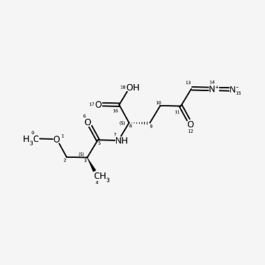 COC[C@H](C)C(=O)N[C@@H](CCC(=O)C=[N+]=[N-])C(=O)O